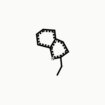 C[CH]c1ccc2ccccc2n1